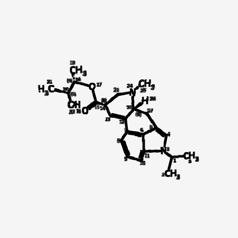 CC(C)n1cc2c3c(cccc31)C1=C[C@@H](C(=O)O[C@@H](C)[C@H](C)O)CN(C)[C@@H]1C2